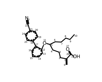 C=C(CCCC(CCCCC)Oc1ccccc1-c1ccc(C#N)cc1)C(=O)O